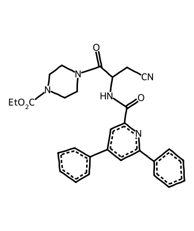 CCOC(=O)N1CCN(C(=O)C(CC#N)NC(=O)c2cc(-c3ccccc3)cc(-c3ccccc3)n2)CC1